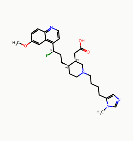 COc1ccc2nccc([C@H](F)CC[C@@H]3CCN(CCCCc4cncn4C)C[C@@H]3CC(=O)O)c2c1